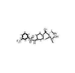 CB(O)N(C)[C@@H](CC(C)C)C(=O)N1CCC(NS(=O)(=O)c2cccc(C(F)(F)F)c2)CC1